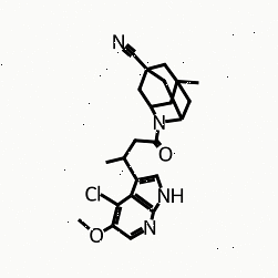 COc1cnc2[nH]cc(C(C)CC(=O)N3C4CC5(C)CC3CC(C#N)(C4)C5)c2c1Cl